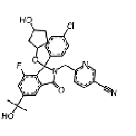 CC(C)(O)c1cc(F)c2c(c1)C(=O)N(Cc1ccc(C#N)cn1)C2(OC1CCC(O)C1)c1ccc(Cl)cc1